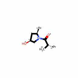 CC(=O)[C@@H]1C[C@H](O)CN1C(=O)[C@@H](C)C(C)C